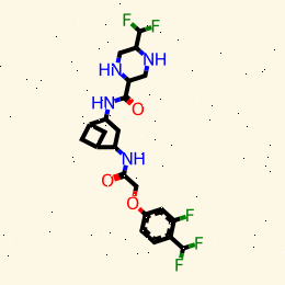 O=C(COc1ccc(C(F)F)c(F)c1)NC1CC(NC(=O)C2CNC(C(F)F)CN2)C2CC1C2